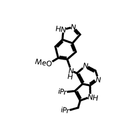 COc1cc2[nH]ncc2cc1Nc1ncnc2[nH]c(CC(C)C)c(C(C)C)c12